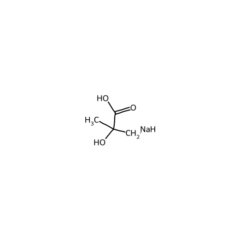 [CH2]C(C)(O)C(=O)O.[NaH]